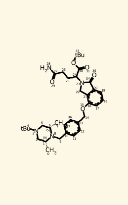 C[C@@H]1CN(C(C)(C)C)C[C@H](C)N1Cc1ccc(COc2cccc3c2CN(C(CCC(N)=O)C(=O)OC(C)(C)C)C3=O)cc1